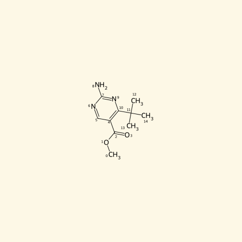 COC(=O)c1cnc(N)nc1C(C)(C)C